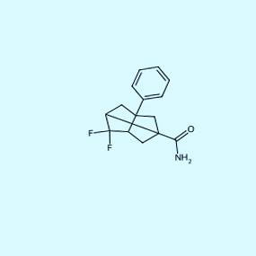 NC(=O)C12CC3C(c4ccccc4)(CC1C3(F)F)C2